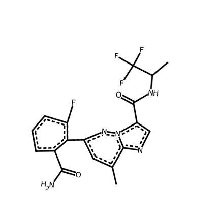 Cc1cc(-c2c(F)cccc2C(N)=O)nn2c(C(=O)NC(C)C(F)(F)F)cnc12